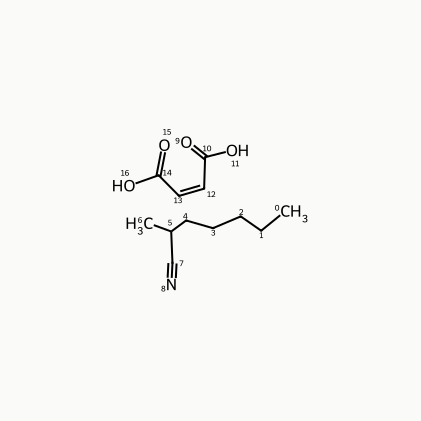 CCCCCC(C)C#N.O=C(O)/C=C\C(=O)O